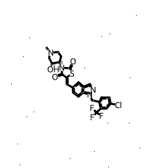 CN1CC[C@@H](N2C(=O)SC(=Cc3ccc4c(cnn4Cc4ccc(Cl)cc4C(F)(F)F)c3)C2=O)[C@H](O)C1